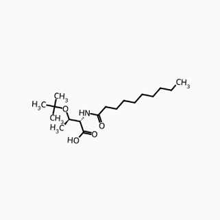 CCCCCCCCCC(=O)N[C@H](C(=O)O)[C@@H](C)OC(C)(C)C